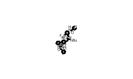 CCCCc1nn(-c2cc(NC(=O)c3ccncc3)ccc2C(F)(F)F)c(C#N)c1Cc1ccc(-c2ccccc2S(=O)(=O)NC(=O)c2ccccc2Cl)cc1F